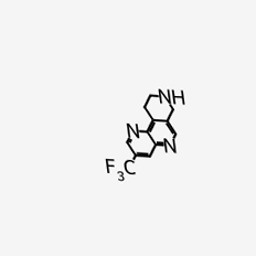 FC(F)(F)c1cnc2c3c(cnc2c1)CNCC3